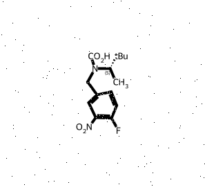 C[C@H](N(Cc1ccc(F)c([N+](=O)[O-])c1)C(=O)O)C(C)(C)C